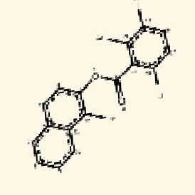 O=C(Oc1ccc2ccccc2c1I)c1c(I)ccc(I)c1I